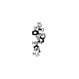 CCn1cc(Nc2ncc(F)c(N[C@@H]3[C@H](C(N)=O)[C@H]4C=C[C@@H]3C4)n2)cn1